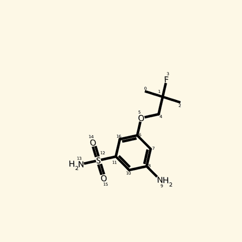 CC(C)(F)COc1cc(N)cc(S(N)(=O)=O)c1